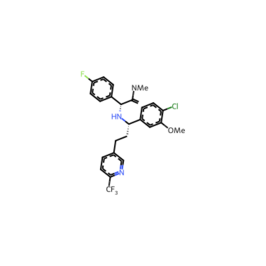 C=C(NC)[C@H](N[C@@H](CCc1ccc(C(F)(F)F)nc1)c1ccc(Cl)c(OC)c1)c1ccc(F)cc1